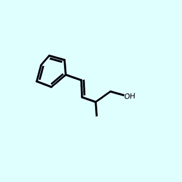 CC(/C=C/c1ccccc1)CO